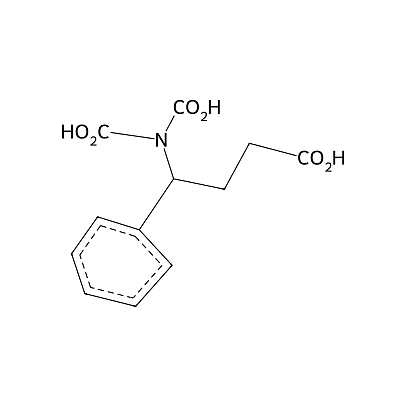 O=C(O)CCC(c1ccccc1)N(C(=O)O)C(=O)O